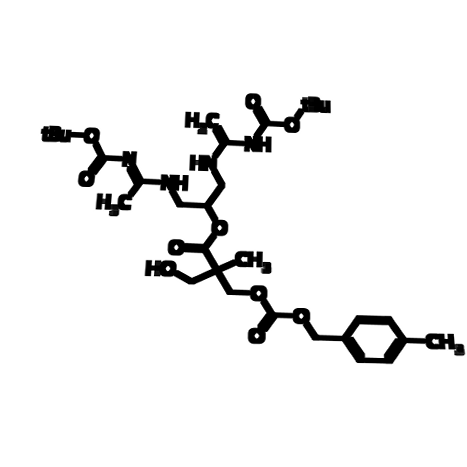 C=C(NCC(CN/C(C)=N/C(=O)OC(C)(C)C)OC(=O)C(C)(CO)COC(=O)OCc1ccc(C)cc1)NC(=O)OC(C)(C)C